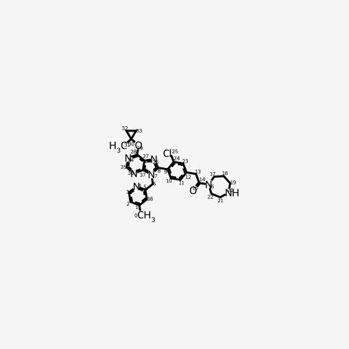 Cc1ccnc(Cn2c(-c3ccc(CC(=O)N4CCCNCC4)cc3Cl)nc3c(OC4(C)CC4)ncnc32)c1